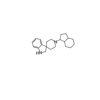 c1ccc2c(c1)NCC21CCN(C2CCC3CCCCC32)CC1